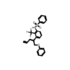 C=CCC(COc1c[c]ccc1)c1cccc(NS(=O)(=O)c2ccccc2)c1C(F)(F)F